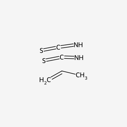 C=CC.N=C=S.N=C=S